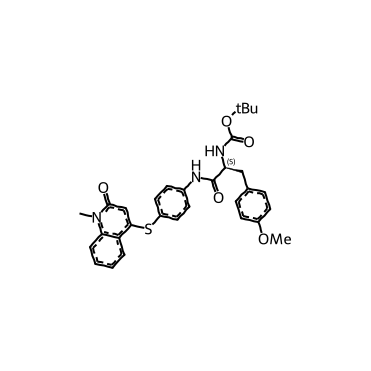 COc1ccc(C[C@H](NC(=O)OC(C)(C)C)C(=O)Nc2ccc(Sc3cc(=O)n(C)c4ccccc34)cc2)cc1